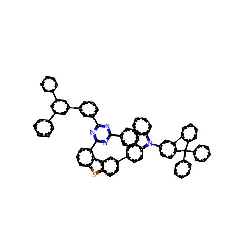 c1ccc(-c2cc(-c3ccccc3)cc(-c3cccc(-c4nc(-c5ccccc5)nc(-c5cccc6sc7ccc(-c8ccc9c(c8)c8ccccc8n9-c8ccc9c(c8)-c8ccccc8C9(c8ccccc8)c8ccccc8)cc7c56)n4)c3)c2)cc1